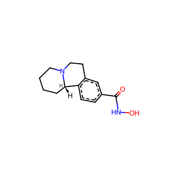 O=C(NO)c1ccc2c(c1)CCN1CCCC[C@@H]21